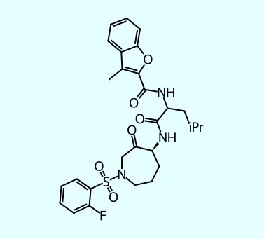 Cc1c(C(=O)NC(CC(C)C)C(=O)N[C@H]2CCCN(S(=O)(=O)c3ccccc3F)CC2=O)oc2ccccc12